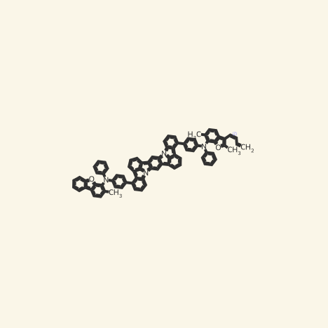 C=C/C=C\c1c(C)oc2c(N(c3ccccc3)c3ccc(-c4cccc5c4c4cccc6c7cc8c(cc7n5c64)c4cccc5c6c(-c7ccc(N(c9ccccc9)c9c(C)ccc%10c9oc9ccccc9%10)cc7)cccc6n8c45)cc3)c(C)ccc12